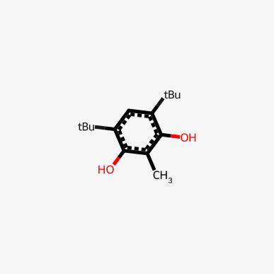 Cc1c(O)c(C(C)(C)C)cc(C(C)(C)C)c1O